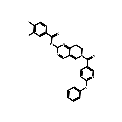 O=C(NC1N=CC2=CN(C(=O)c3ccc(Oc4ccccc4)nc3)CCC2=N1)c1ccc(F)c(F)c1